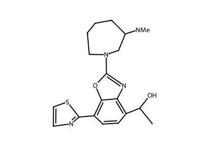 CNC1CCCCN(c2nc3c(C(C)O)ccc(-c4nccs4)c3o2)C1